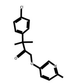 Cc1ccc(OCC(=O)C(C)(C)c2ccc(Cl)cc2)cn1